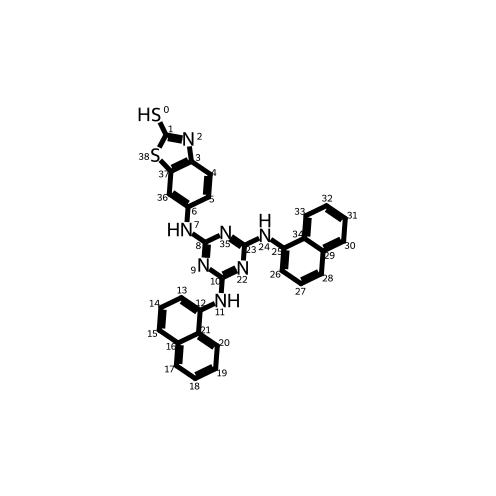 Sc1nc2ccc(Nc3nc(Nc4cccc5ccccc45)nc(Nc4cccc5ccccc45)n3)cc2s1